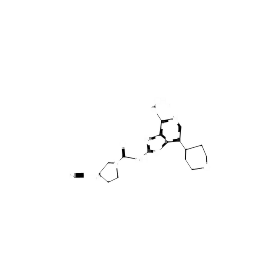 COc1ncc(C2CCOCC2)c2sc(NC(=O)N3CC[C@H](C#N)C3)nc12